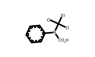 CCC(Cl)(Cl)N(C(=O)O)c1ccccc1